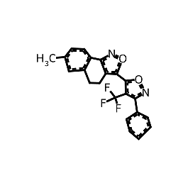 Cc1ccc2c(c1)CCc1c-2noc1-c1onc(-c2ccccc2)c1C(F)(F)F